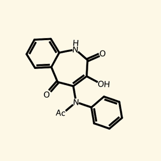 CC(=O)N(c1ccccc1)c1c(O)c(=O)[nH]c2ccccc2c1=O